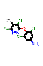 CC(C)c1c(Cl)nnc(Oc2c(Cl)cc(N)cc2Cl)c1Cl